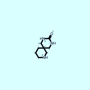 O=C1NCC2(CCCNC2)CN1